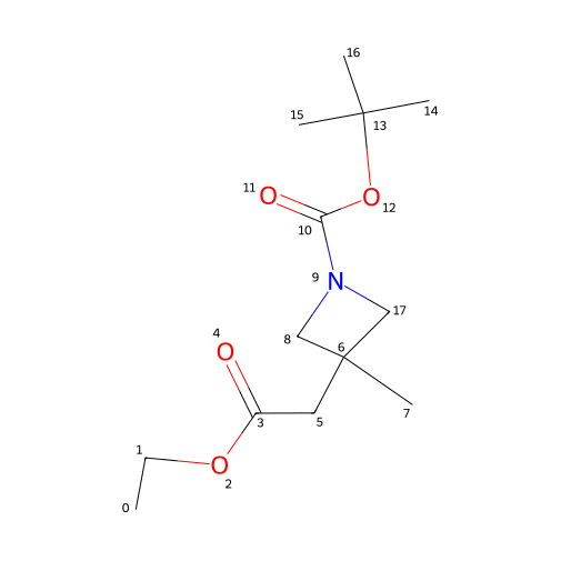 CCOC(=O)CC1(C)CN(C(=O)OC(C)(C)C)C1